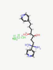 Cl.Cl.Cl.Cl.NC(N)(CCC(O)C(O)CCCc1ccncc1)c1ccncc1